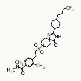 Cc1cc(C(=O)N(C)C)ccc1CCS(=O)(=O)N1CCC2(CC1)N=C(C1CCC(CCCC(F)(F)F)CC1)NC2=O